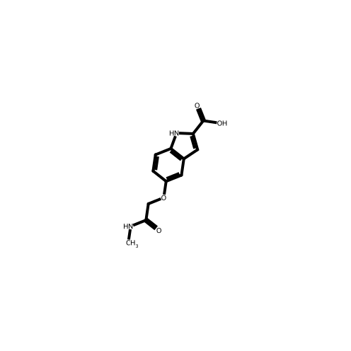 CNC(=O)COc1ccc2[nH]c(C(=O)O)cc2c1